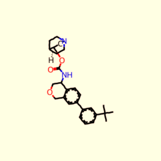 CC(C)(C)c1cccc(-c2ccc3c(c2)COCC3NC(=O)O[C@@H]2CN3CCC2CC3)c1